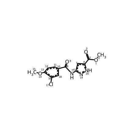 COC(=O)c1cc(NC(=O)c2ccc(OC)c(Cl)c2)n[nH]1